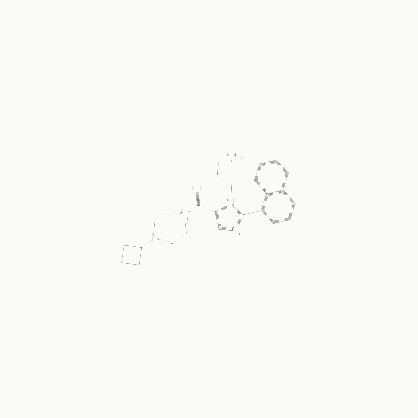 COCCn1c(C(=O)N2CCN(C3CCC3)CC2)cnc1-c1cccc2ccccc12